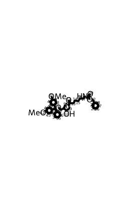 COc1ccc(C(OCC2CN(C(=O)CCCCCNC(=O)OCc3ccccc3)CC2O)(c2ccccc2)c2ccc(OC)cc2)cc1